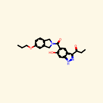 CCCOc1ccc2c(c1)CN(C(=O)c1cc3c(C(=O)CC)n[nH]c3cc1O)C2